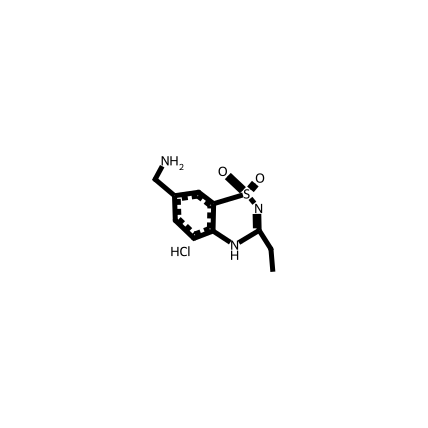 CCC1=NS(=O)(=O)c2cc(CN)ccc2N1.Cl